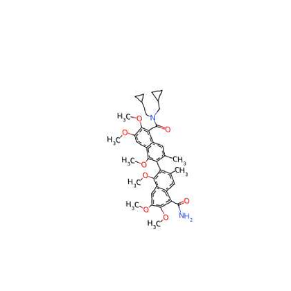 COc1cc2c(OC)c(-c3c(C)cc4c(C(=O)N(CC5CC5)CC5CC5)c(OC)c(OC)cc4c3OC)c(C)cc2c(C(N)=O)c1OC